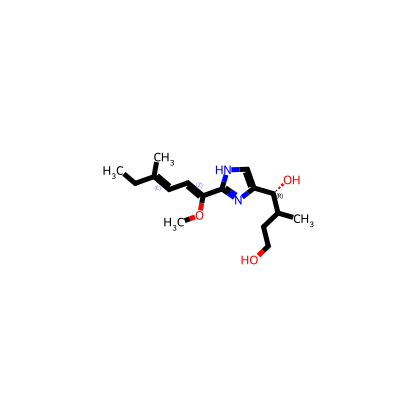 CC/C(C)=C/C=C(\OC)c1nc([C@H](O)C(C)CCO)c[nH]1